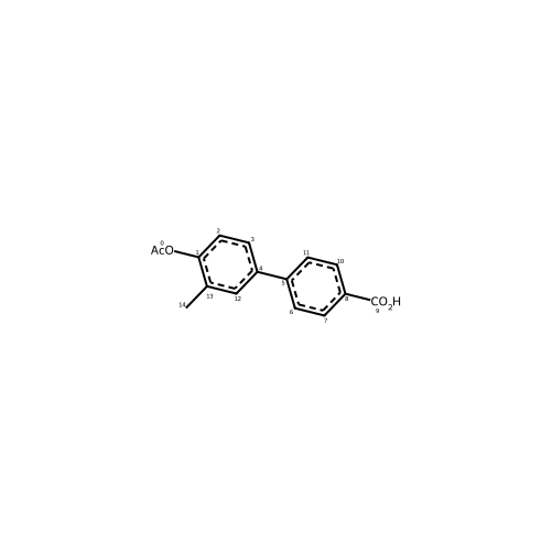 CC(=O)Oc1ccc(-c2ccc(C(=O)O)cc2)cc1C